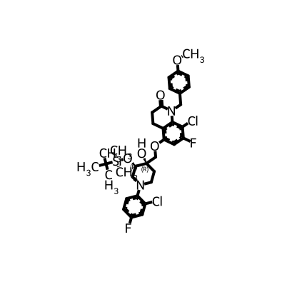 COc1ccc(CN2C(=O)CCc3c(OC[C@]4(O)CCN(c5ccc(F)cc5Cl)C[C@H]4O[Si](C)(C)C(C)(C)C)cc(F)c(Cl)c32)cc1